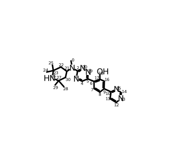 CN(c1ncc(-c2ccc(-c3ccncn3)cc2O)nn1)C1CC(C)(C)NC(C)(C)C1